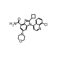 NC(=O)c1cc(N2CCOCC2)cc2c1nc(C1CCC1)n2-c1ccnc2c(Cl)cccc12